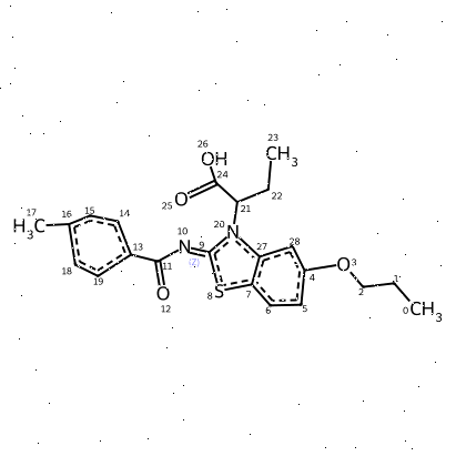 CCCOc1ccc2s/c(=N\C(=O)c3ccc(C)cc3)n(C(CC)C(=O)O)c2c1